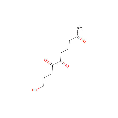 CCCC(=O)CCCC(=O)C(=O)CCCO